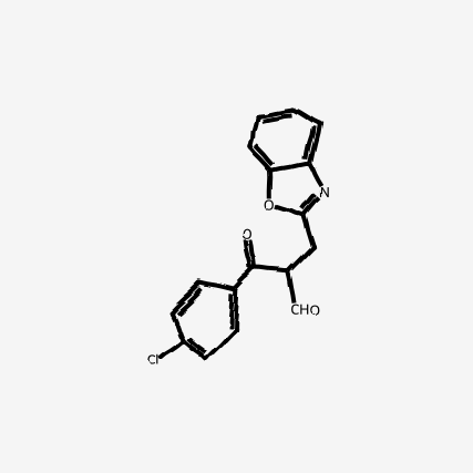 O=CC(Cc1nc2ccccc2o1)C(=O)c1ccc(Cl)cc1